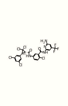 Nc1cc(C(F)(F)F)cc(NC(=O)c2cc(NC(=O)[C@@H]3[C@@H](c4cc(Cl)cc(Cl)c4)C3(Cl)Cl)ccc2Cl)n1